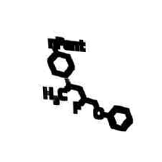 CCCCC[C@H]1CC[C@H](C(C)CC(F)COc2ccccc2)CC1